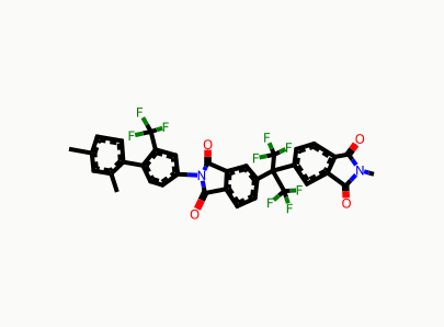 Cc1ccc(-c2ccc(N3C(=O)c4ccc(C(c5ccc6c(c5)C(=O)N(C)C6=O)(C(F)(F)F)C(F)(F)F)cc4C3=O)cc2C(F)(F)F)c(C)c1